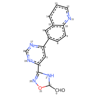 O=CC1NC(c2cc(-c3ccc4ncccc4c3)ncn2)=NO1